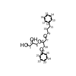 OCC(O)COC(COCCCc1ccccc1)COc1ccccc1